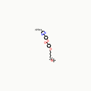 CCCCCCc1cnc(-c2ccc(OC(=O)c3ccc(OCCCCC[Si](C)(C)O[Si](C)(C)C)cc3)cc2)nc1